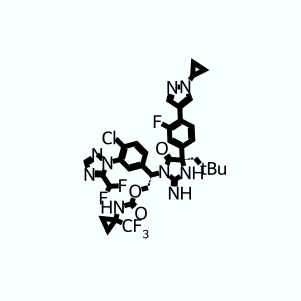 CC(C)(C)C[C@]1(c2ccc(-c3cnn(C4CC4)c3)c(F)c2)NC(=N)N([C@H](COC(=O)NC2(C(F)(F)F)CC2)c2ccc(Cl)c(-n3ncnc3C(F)F)c2)C1=O